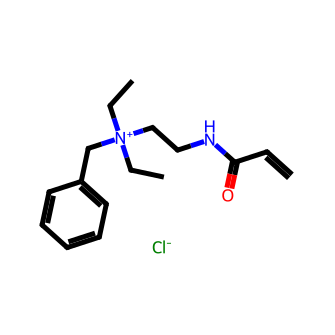 C=CC(=O)NCC[N+](CC)(CC)Cc1ccccc1.[Cl-]